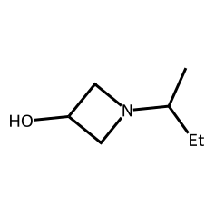 CCC(C)N1CC(O)C1